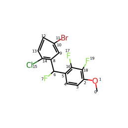 COc1ccc(C(F)c2cc(Br)ccc2Cl)c(F)c1F